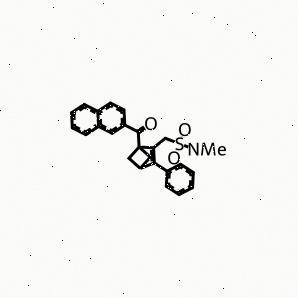 CNS(=O)(=O)CC1=C(c2ccccc2)C2CC1(C(=O)c1ccc3ccccc3c1)C2